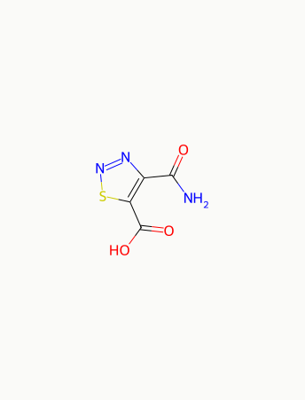 NC(=O)c1nnsc1C(=O)O